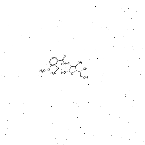 COc1cccc(C(=O)NO[C@@H]2[C@@H](O)[C@@H]([C@H](O)CO)O[C@@H]2O)c1OC